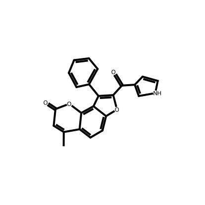 Cc1cc(=O)oc2c1ccc1oc(C(=O)c3cc[nH]c3)c(-c3ccccc3)c12